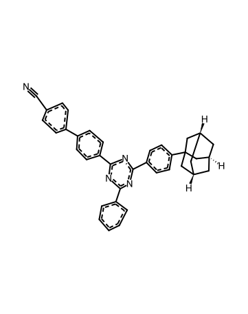 N#Cc1ccc(-c2ccc(-c3nc(-c4ccccc4)nc(-c4ccc(C56C[C@H]7C[C@@H](C5)C[C@@H](C6)C7)cc4)n3)cc2)cc1